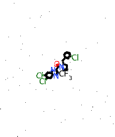 O=C(c1nc2cc(Cl)c(Cl)cc2nc1C(F)(F)F)N1CCCC1Cc1cccc(Cl)c1